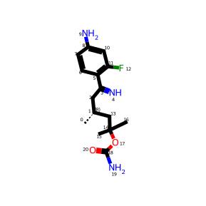 C[C@H](CC(=N)c1ccc(N)cc1F)CC(C)(C)OC(N)=O